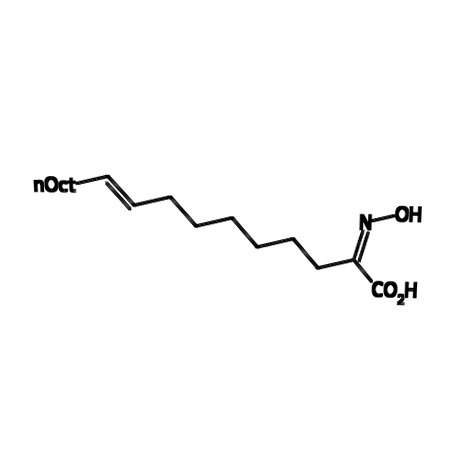 CCCCCCCCC=CCCCCCCC(=NO)C(=O)O